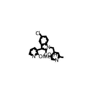 COc1ncccc1-c1c(C(=O)O)n(Cc2ccnc(C)c2)c2ccc(Cl)cc12